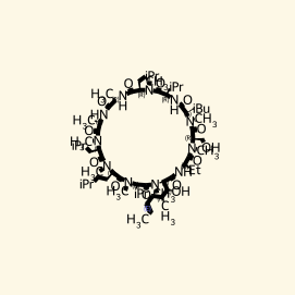 C/C=C/C[C@@H](C)[C@@H](O)[C@H]1C(=O)N[C@H](CC)C(=O)N(C)[C@H](CO)C(=O)N(C)[C@@H](C(C)CC)C(=O)N[C@H](C(C)C)C(=O)N(C)[C@H](CC(C)C)C(=O)N[C@H](C)C(=O)N[C@@H](C)C(=O)N(C)[C@H](CC(C)C)C(=O)N(C)[C@H](CCC(C)C)C(=O)N(C)[C@H](C(C)C)C(=O)N1C